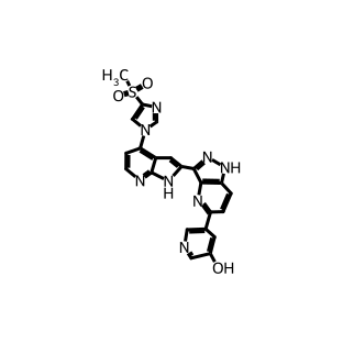 CS(=O)(=O)c1cn(-c2ccnc3[nH]c(-c4n[nH]c5ccc(-c6cncc(O)c6)nc45)cc23)cn1